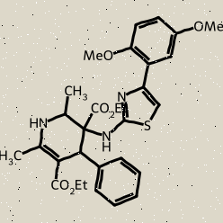 CCOC(=O)C1=C(C)NC(C)C(Nc2nc(-c3cc(OC)ccc3OC)cs2)(C(=O)OCC)C1c1ccccc1